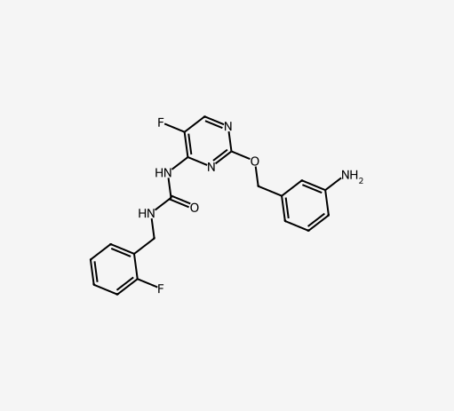 Nc1cccc(COc2ncc(F)c(NC(=O)NCc3ccccc3F)n2)c1